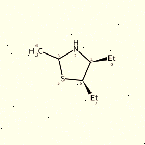 CC[C@@H]1NC(C)S[C@@H]1CC